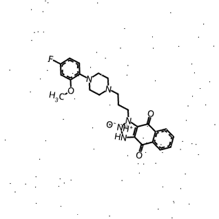 COc1cc(F)ccc1N1CCN(CCCN2C3=C(N[N@@H+]2[O-])C(=O)c2ccccc2C3=O)CC1